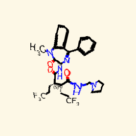 CN1C(=O)[C@@H](NC(=O)[C@@H](CCC(F)(F)F)[C@@H](CCC(F)(F)F)C(=O)NCN2CCCC2)N=C(c2ccccc2)c2ccccc21